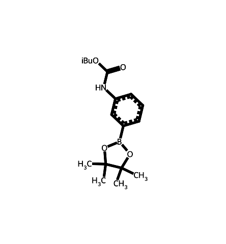 CC(C)COC(=O)Nc1cccc(B2OC(C)(C)C(C)(C)O2)c1